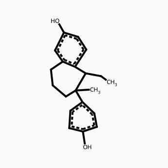 CCC1c2ccc(O)cc2CCCC1(C)c1ccc(O)cc1